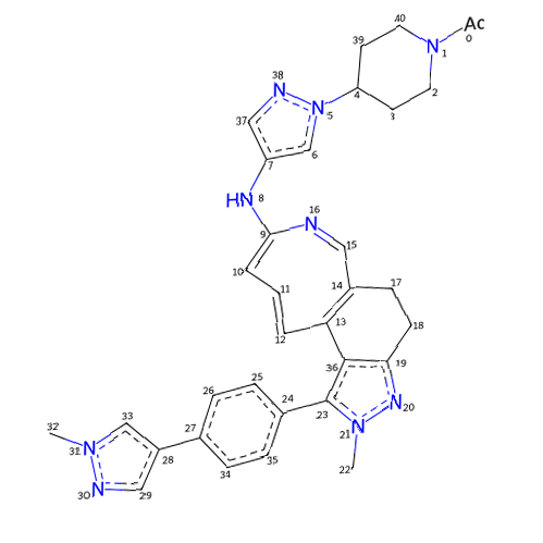 CC(=O)N1CCC(n2cc(NC3=C/C=C/C4=C(/C=N\3)CCc3nn(C)c(-c5ccc(-c6cnn(C)c6)cc5)c34)cn2)CC1